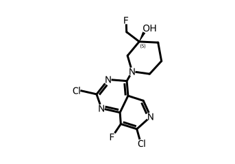 O[C@@]1(CF)CCCN(c2nc(Cl)nc3c(F)c(Cl)ncc23)C1